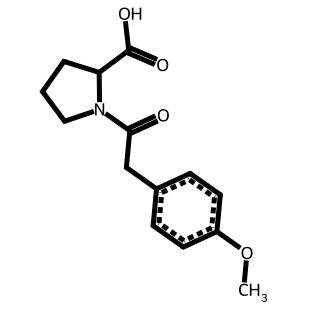 COc1ccc(CC(=O)N2CCCC2C(=O)O)cc1